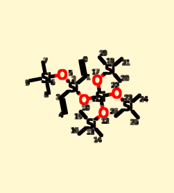 C=C[Si](C=C)(O[Si](C)(C)C)O[Si](O[Si](C)(C)C)(O[Si](C)(C)C)O[Si](C)(C)C